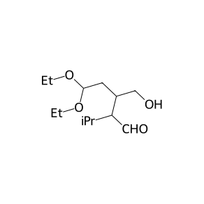 CCOC(CC(CO)C(C=O)C(C)C)OCC